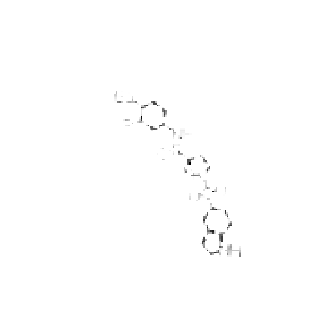 CCC(C)c1ccc(N[S+]([O-])c2ccn(S(=O)(=O)c3ccc4[nH]ccc4c3)n2)cc1F